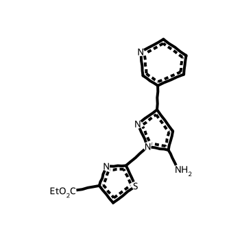 CCOC(=O)c1csc(-n2nc(-c3cccnc3)cc2N)n1